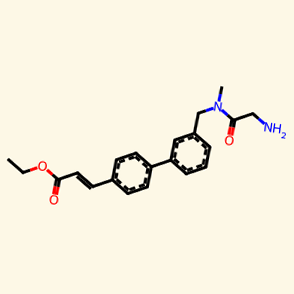 CCOC(=O)/C=C/c1ccc(-c2cccc(CN(C)C(=O)CN)c2)cc1